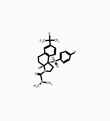 CN(C)C(=O)N1CC[C@@]2(S(=O)(=O)c3ccc(F)cc3)c3ccc(C(F)(C(F)(F)F)C(F)(F)F)cc3CC[C@@H]12